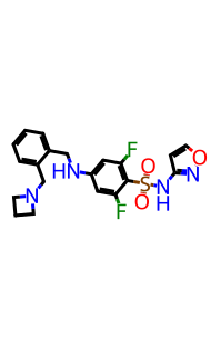 O=S(=O)(Nc1ccon1)c1c(F)cc(NCc2ccccc2CN2CCC2)cc1F